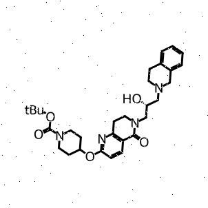 CC(C)(C)OC(=O)N1CCC(Oc2ccc3c(n2)CCN(C[C@H](O)CN2CCc4ccccc4C2)C3=O)CC1